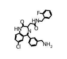 NCc1cccc(C2=NC(CC(=O)NCc3ccccc3F)C(=O)Nc3ccc(Cl)cc32)c1